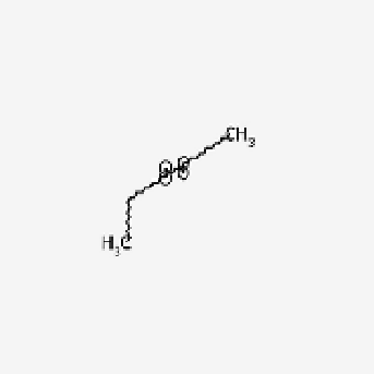 CCCCCCCC/C=C\CCCCCCCCOC(=O)CCC(=O)OC=CCCCCCCCCCC